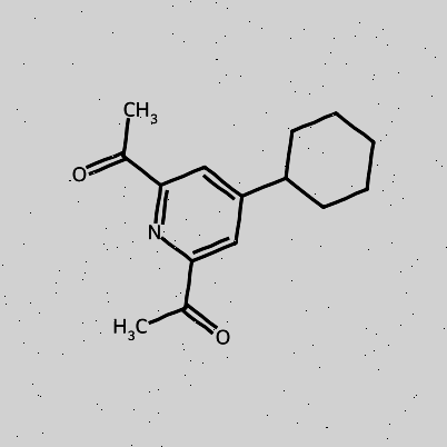 CC(=O)c1cc(C2CCCCC2)cc(C(C)=O)n1